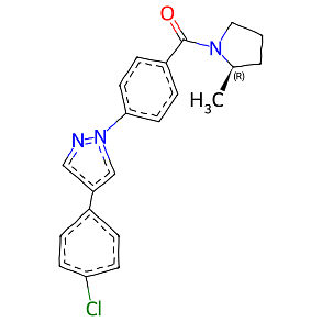 C[C@@H]1CCCN1C(=O)c1ccc(-n2cc(-c3ccc(Cl)cc3)cn2)cc1